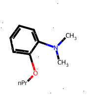 CCCOc1ccccc1N(C)C